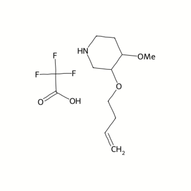 C=CCCOC1CNCCC1OC.O=C(O)C(F)(F)F